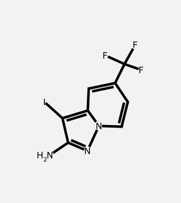 Nc1nn2ccc(C(F)(F)F)cc2c1I